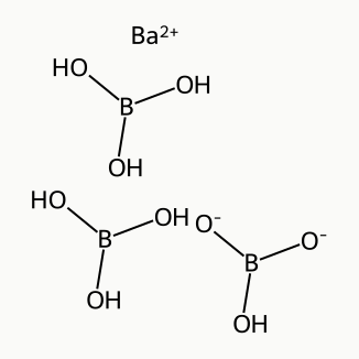 OB(O)O.OB(O)O.[Ba+2].[O-]B([O-])O